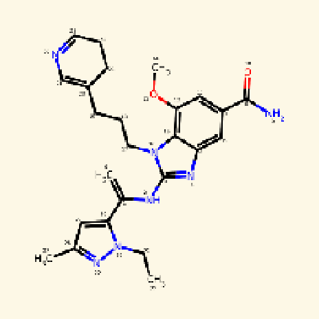 C=C(Nc1nc2cc(C(N)=O)cc(OC)c2n1CCCC1=CN=CCC1)c1cc(C)nn1CC